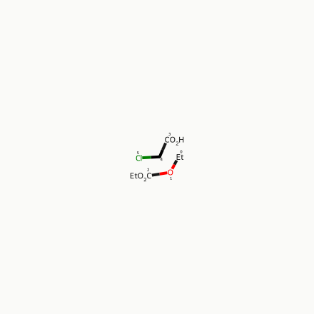 CCOC(=O)OCC.O=C(O)CCl